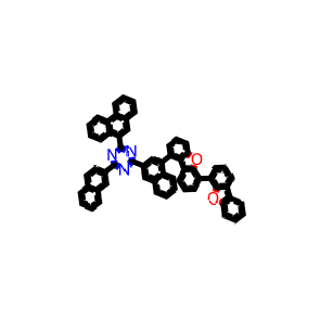 c1ccc2cc(-c3nc(-c4cc(-c5cccc6oc7c(-c8cccc9c8oc8ccccc89)cccc7c56)c5ccccc5c4)nc(-c4cc5ccccc5c5ccccc45)n3)ccc2c1